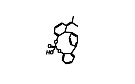 CC(C)=C1C=CC=C2OP(=O)(O)Oc3ccccc3-c3ccc(cc3)C21